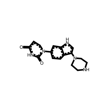 O=c1ccn(-c2ccc3c(N4CCNCC4)c[nH]c3c2)c(=O)[nH]1